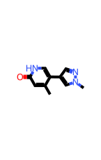 Cc1cc(=O)[nH]cc1-c1cnn(C)c1